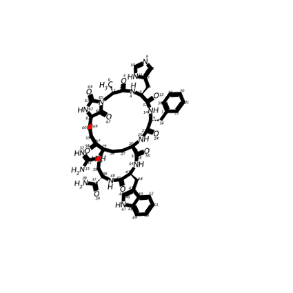 C[C@@H]1C(=O)N[C@@H](Cc2cnc[nH]2)C(=O)N[C@H](Cc2ccccc2)C(=O)N[C@H]2CCC(NC(=N)N)(NC[C@@H](C(N)=O)NC(=O)[C@H](Cc3c[nH]c4ccccc34)NC2=O)C(=O)CC[C@@H]2NC(=O)N1C2=O